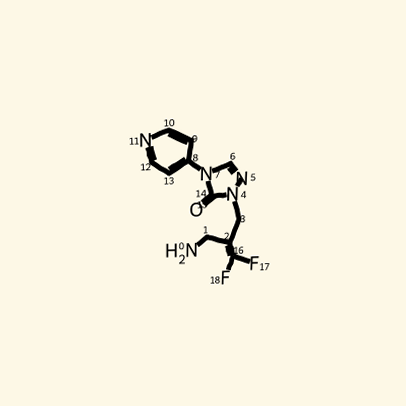 NCC(Cn1ncn(-c2ccncc2)c1=O)=C(F)F